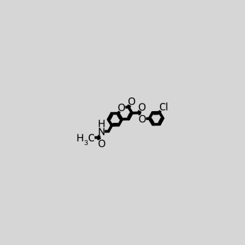 CC(=O)NCc1ccc2oc(=O)c(C(=O)Oc3cccc(Cl)c3)cc2c1